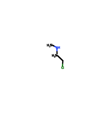 [SiH3]N[SiH2]CCl